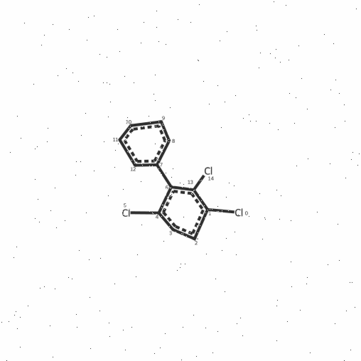 Clc1[c]cc(Cl)c(-c2ccccc2)c1Cl